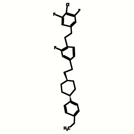 CCc1ccc([C@H]2CC[C@H](CCc3ccc(CCc4cc(F)c(Cl)c(F)c4)c(F)c3)CC2)cc1